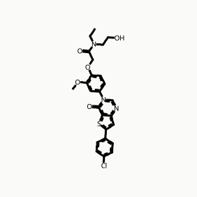 CCN(CCO)C(=O)COc1ccc(-n2cnc3cc(-c4ccc(Cl)cc4)sc3c2=O)cc1OC